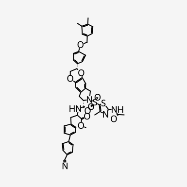 COC(=O)C(Cc1ccc(-c2ccc(C#N)cc2)cc1)NC(=O)[C@@H]1Cc2cc3c(cc2CN1S(=O)(=O)c1sc(NC(C)=O)nc1C)O[C@@H](c1ccc(OCc2ccc(C)c(C)c2)cc1)CO3